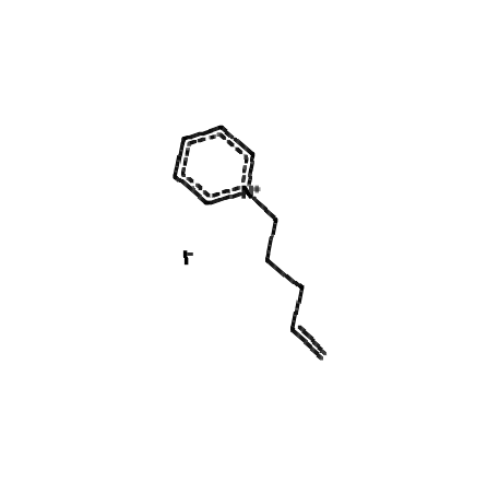 C=CCCC[n+]1ccccc1.[I-]